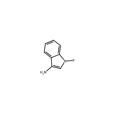 Nc1cn(F)c2ccccc12